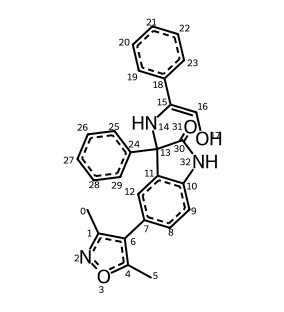 Cc1noc(C)c1-c1ccc2c(c1)C(N/C(=C\O)c1ccccc1)(c1ccccc1)C(=O)N2